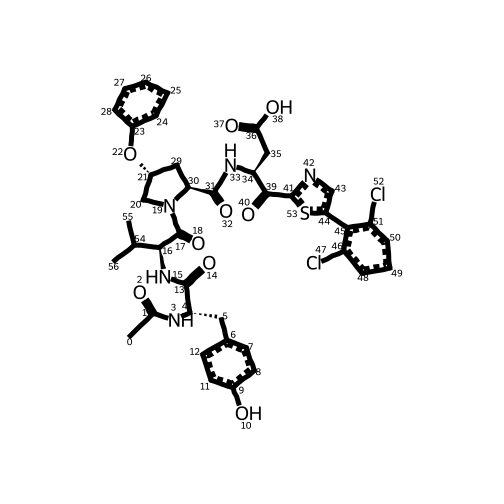 CC(=O)N[C@@H](Cc1ccc(O)cc1)C(=O)N[C@H](C(=O)N1C[C@H](Oc2ccccc2)C[C@H]1C(=O)N[C@@H](CC(=O)O)C(=O)c1ncc(-c2c(Cl)cccc2Cl)s1)C(C)C